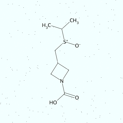 CC(C)[S+]([O-])CC1CN(C(=O)O)C1